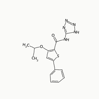 CC(C)Oc1cc(-c2ccccc2)sc1C(=O)Nc1nnn[nH]1